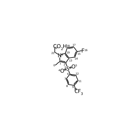 Cc1c(S(=O)(=O)c2ccc(C(F)(F)F)cc2)c2cc(F)ccc2n1CC(=O)O